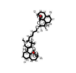 C[C@@H]1CC[C@H]2C(CN(C)CCCCCO[C@@]3(C)O[C@@H]4O[C@]5(C)CCC6[C@H](C)CC[C@@H]([C@H]3C)[C@]64OO5)=C(C(F)(F)F)O[C@@H]3O[C@]4(C)CCC1[C@]32OO4